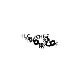 COc1cc(-c2cn([C@@H]3CCC4C=C(F)C=CC4N(CC(F)(F)F)C3=O)nn2)ccc1-n1cnc(C)c1